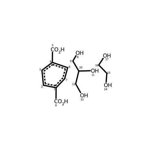 O=C(O)c1ccc(C(=O)O)cc1.OCC(O)CO.OCCO